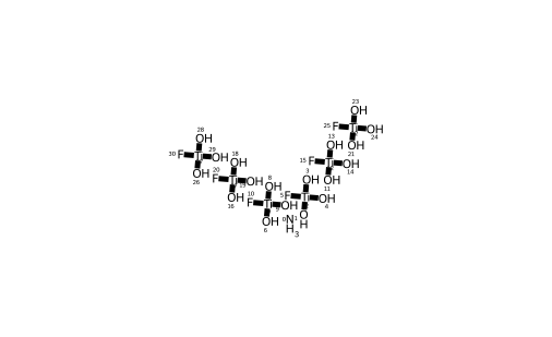 N.[OH][Ti]([OH])([OH])[F].[OH][Ti]([OH])([OH])[F].[OH][Ti]([OH])([OH])[F].[OH][Ti]([OH])([OH])[F].[OH][Ti]([OH])([OH])[F].[OH][Ti]([OH])([OH])[F]